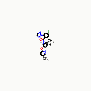 C[C@@H]1[C@H]2C[C@@H](Oc3ccc(C(F)(F)F)cn3)[C@H](C2)N1C(=O)c1ccc(F)cc1-n1nccn1